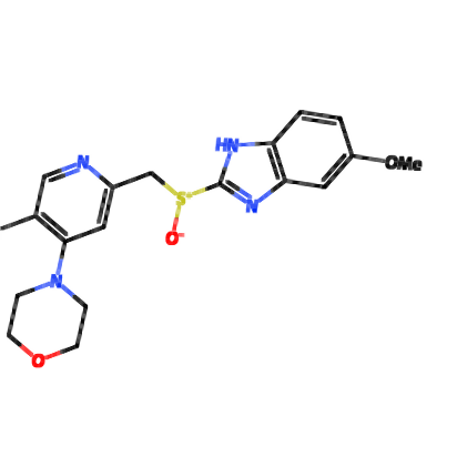 CCc1cnc(C[S+]([O-])c2nc3cc(OC)ccc3[nH]2)cc1N1CCOCC1